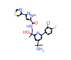 Cn1nc(-c2cscn2)cc1C(=O)NCC(C)(O)c1cc(C(C)(C)N)cc(-c2ccc(F)c(Cl)c2)n1